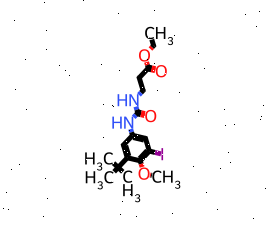 CCOC(=O)CCNC(=O)Nc1cc(I)c(OC)c(C(C)(C)C)c1